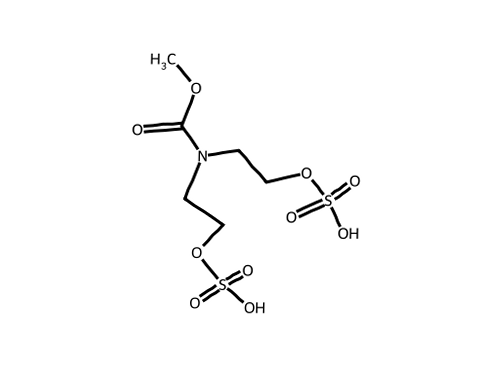 COC(=O)N(CCOS(=O)(=O)O)CCOS(=O)(=O)O